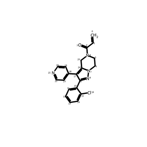 C=CC(=O)N1CCn2nc(-c3ccccc3Cl)c(-c3ccncc3)c2C1